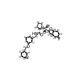 O=C(NCc1cccc(OCc2cccnc2)c1)[C@@H]1CCCN1S(=O)(=O)c1cc2cc(F)ccc2o1